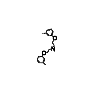 Cc1cccc(OCCN(C)CCOc2cccc(C)c2)c1